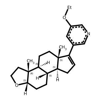 CCOc1cncc(C2=CC[C@H]3[C@@H]4CC[C@@H]5OCC[C@]5(C)[C@H]4CC[C@]23C)c1